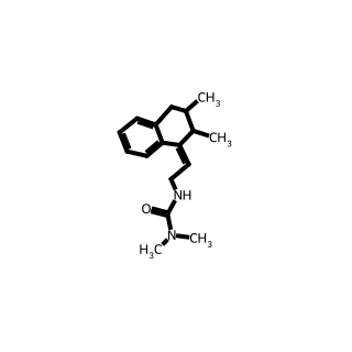 CC1Cc2ccccc2C(=CCNC(=O)N(C)C)C1C